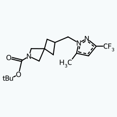 Cc1cc(C(F)(F)F)nn1CC1CC2(C1)CN(C(=O)OC(C)(C)C)C2